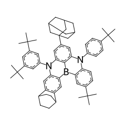 CC(C)(C)c1ccc(N2c3ccc(C(C)(C)C)cc3B3c4cc5c(cc4N(c4cc(C(C)(C)C)cc(C(C)(C)C)c4)c4cc(C67CC8CC(CC(C8)C6)C7)cc2c43)C2CCC5CC2)cc1